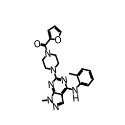 Cc1ccccc1Nc1nc(N2CCN(C(=O)c3ccco3)CC2)nc2c1cnn2C